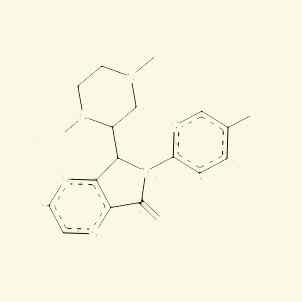 CN1CCN(C(=O)O)C(C2c3nccnc3C(=O)N2c2ccc(Cl)cn2)C1